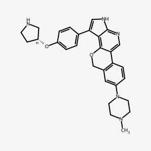 CN1CCN(c2ccc3c(c2)COc2c-3cnc3[nH]cc(-c4ccc(O[C@@H]5CCNC5)cc4)c23)CC1